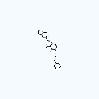 Cl.O=c1[nH]c(-c2cc3ccsc3cn2)nc2ccc(OCCCc3ccncc3)c(Cl)c12